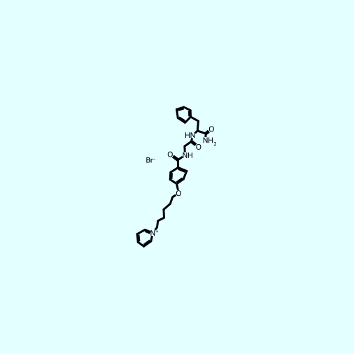 NC(=O)C(Cc1ccccc1)NC(=O)CNC(=O)c1ccc(OCCCCCC[n+]2ccccc2)cc1.[Br-]